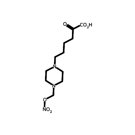 O=C(O)C(=O)CCCCN1CCN(CO[N+](=O)[O-])CC1